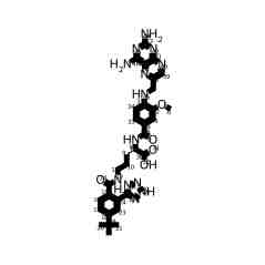 COc1cc(C(=O)N[C@@H](CCCNC(=O)c2ccc(C(C)(C)C)cc2-c2nn[nH]n2)C(=O)O)ccc1NCc1cnc2nc(N)nc(N)c2n1